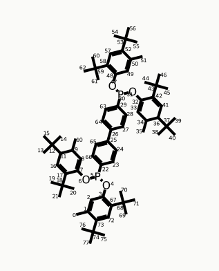 Cc1cc(OP(OC2=CC(C)C(C(C)(C)C)C=C2C(C)(C)C)c2ccc(-c3ccc(P(OC4=CC(C)C(C(C)(C)C)C=C4C(C)(C)C)Oc4cc(C)c(C(C)(C)C)cc4C(C)(C)C)cc3)cc2)c(C(C)(C)C)cc1C(C)(C)C